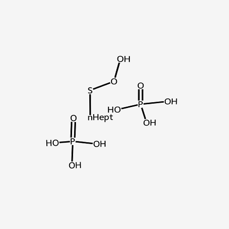 CCCCCCCSOO.O=P(O)(O)O.O=P(O)(O)O